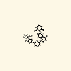 C[C@](O)(c1coc(-c2cncc([C@]34CC[C@H](CC3)c3cc(-c5c(F)cccc5F)nnc34)n2)n1)C(F)F